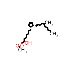 CCCCCC(C)CCC=C[C@H]1C=CC[C@@H]1CCCCCCC(O)COC(C)=O